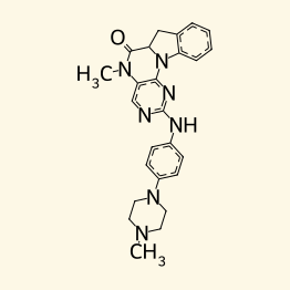 CN1CCN(c2ccc(Nc3ncc4c(n3)N3c5ccccc5CC3C(=O)N4C)cc2)CC1